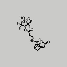 O=C(CCNC(=O)C1C2CC3OC(=O)C1C3C2)OC(C(F)(F)F)C(F)(F)S(=O)(=O)O